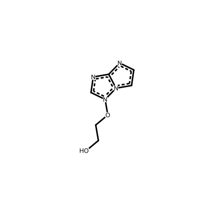 OCCOn1cnc2nccn21